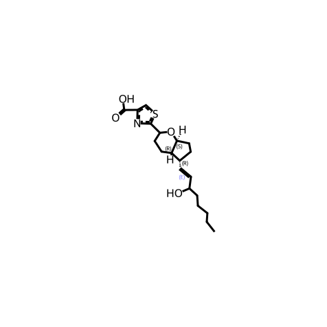 CCCCCC(O)/C=C/[C@H]1CC[C@@H]2OC(c3nc(C(=O)O)cs3)CC[C@@H]21